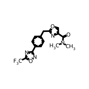 CN(C)C(=O)c1coc(Cc2ccc(-c3noc(C(F)(F)F)n3)cc2)n1